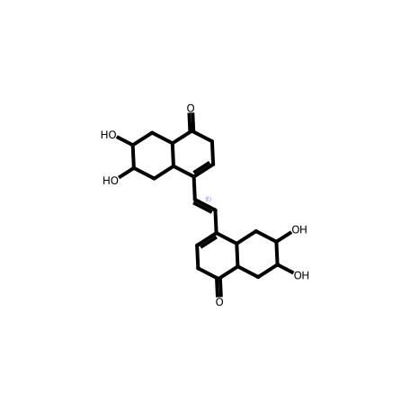 O=C1CC=C(/C=C/C2=CCC(=O)C3CC(O)C(O)CC23)C2CC(O)C(O)CC12